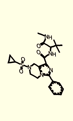 CNC(=O)C(NC(=O)c1nc(-c2ccccc2)n2c1CN(S(=O)(=O)C1CC1)CC2)C(C)(C)C